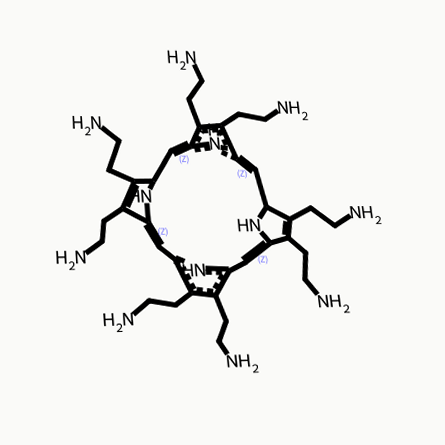 NCCC1=C(CCN)C2/C=c3\[nH]/c(c(CCN)c3CCN)=C\C3N/C(=C\c4[nH]c(c(CCN)c4CCN)/C=C/1N2)C(CCN)=C3CCN